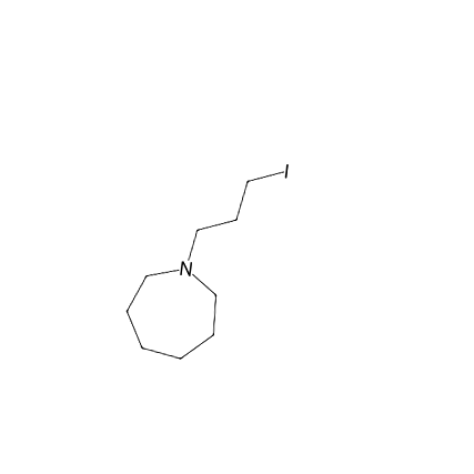 ICCCN1CCCCCC1